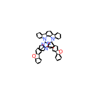 c1ccc(-c2cccc(-n3c4ccccc4c4ccc5c6ccccc6n(-c6nc(-c7ccc8oc9ccccc9c8c7)nc(-c7ccc8oc9ccccc9c8c7)n6)c5c43)c2)cc1